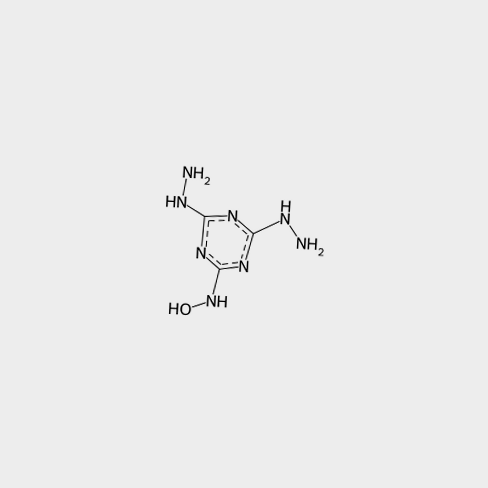 NNc1nc(NN)nc(NO)n1